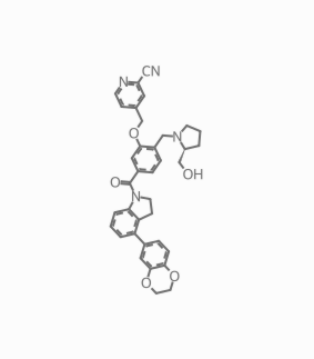 N#Cc1cc(COc2cc(C(=O)N3CCc4c(-c5ccc6c(c5)OCCO6)cccc43)ccc2CN2CCC[C@H]2CO)ccn1